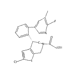 C=CC(=O)N1Cc2sc(Cl)cc2[C@H](c2ccccc2-c2cnc(F)c(C)c2)C1